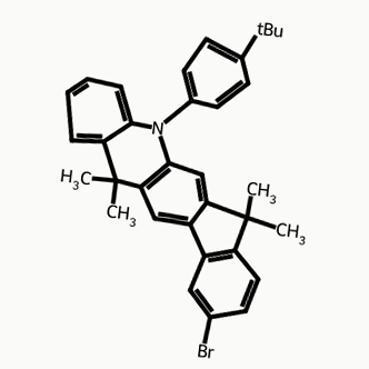 CC(C)(C)c1ccc(N2c3ccccc3C(C)(C)c3cc4c(cc32)C(C)(C)c2ccc(Br)cc2-4)cc1